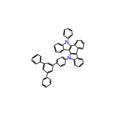 c1ccc(-c2cc(-c3ccccc3)cc(-c3ccc(-n4c5ccccc5c5c6ccccc6c6c(c7ccccc7n6-c6ccccc6)c54)cc3)c2)cc1